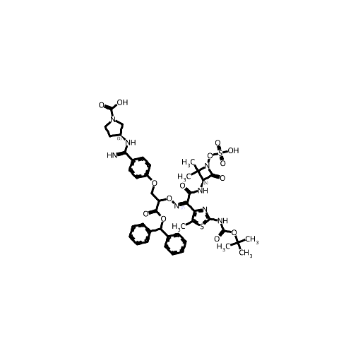 Cc1sc(NC(=O)OC(C)(C)C)nc1/C(=N/OC(COc1ccc(C(=N)N[C@H]2CCN(C(=O)O)C2)cc1)C(=O)OC(c1ccccc1)c1ccccc1)C(=O)N[C@@H]1C(=O)N(OS(=O)(=O)O)C1(C)C